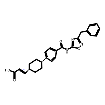 O=C(O)/C=C/[C@H]1CC[C@H](c2ccc(C(=O)Nc3nc(Cc4ccccc4)no3)cc2)CC1